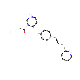 CCC(=O)c1cnccc1Sc1ccc(/C=C/Cc2cc(Br)ccn2)cc1